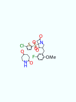 COc1ccc(F)cc1CC1CN2C(=O)CC2(S(=O)(=O)c2ccc(Cl)s2)C1=O.O=C1CCNC(=O)CC1